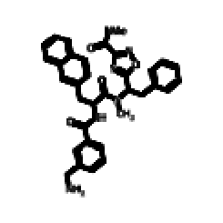 CNC(=O)c1noc(C(Cc2ccccc2)N(C)C(=O)C(Cc2ccc3ccccc3c2)NC(=O)c2cccc(CN)c2)n1